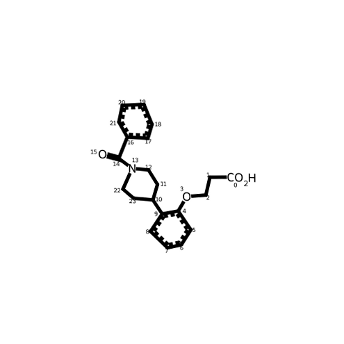 O=C(O)CCOc1ccccc1C1CCN(C(=O)c2ccccc2)CC1